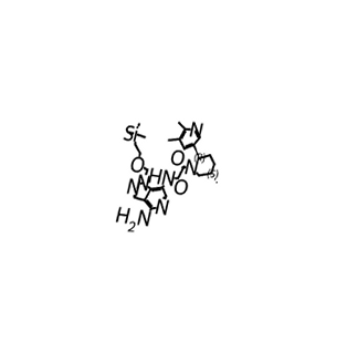 Cc1cc([C@H]2CC[C@H](C)CN2C(=O)C(=O)Nc2cnc(N)c3cnn(COCC[Si](C)(C)C)c23)cnc1C